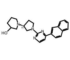 OC1CCCN([C@H]2CCN(c3nccc(-c4ccc5ccccc5c4)n3)C2)C1